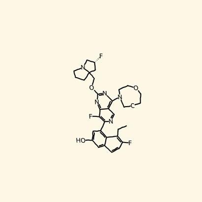 CCc1c(F)ccc2cc(O)cc(-c3ncc4c(N5CCCCOCC5)nc(OCC56CCCN5C[C@H](F)C6)nc4c3F)c12